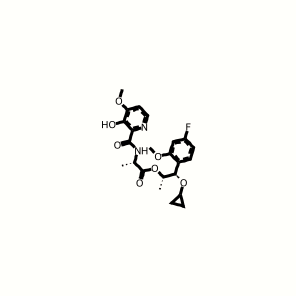 COc1cc(F)ccc1[C@H](OC1CC1)[C@H](C)OC(=O)[C@H](C)NC(=O)c1nccc(OC)c1O